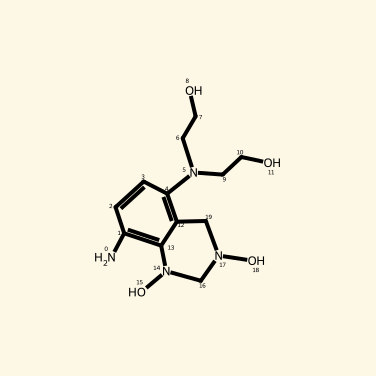 Nc1ccc(N(CCO)CCO)c2c1N(O)CN(O)C2